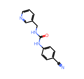 N#Cc1ccc(NC(=O)NCc2cccnc2)cc1